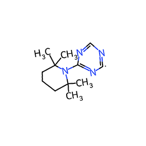 CC1(C)CCCC(C)(C)N1c1n[c]ncn1